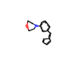 C1=CC(=Cc2cccc(N3CCOCC3)c2)C=C1